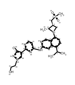 CC(C)c1ccc(N2C[C@H](CS(C)(=O)=O)[C@H]2C)c2cnc(Nc3ccnc(-c4cn(CCO)nc4Cl)n3)cc12